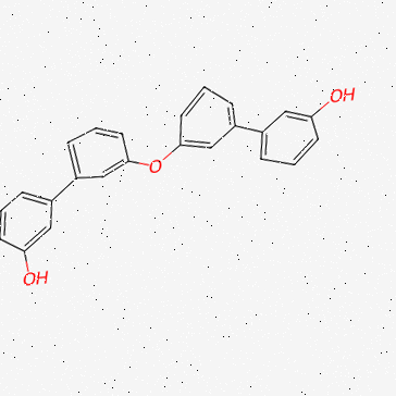 Oc1cccc(-c2cccc(Oc3cccc(-c4cccc(O)c4)c3)c2)c1